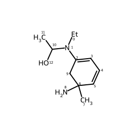 CCN(C1=CC=CC(C)(N)C1)C(C)O